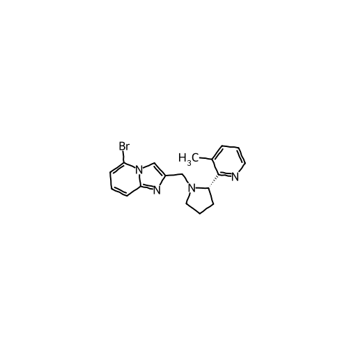 Cc1cccnc1[C@@H]1CCCN1Cc1cn2c(Br)cccc2n1